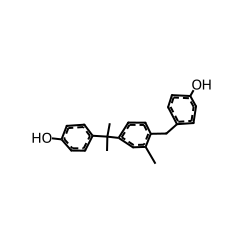 Cc1cc(C(C)(C)c2ccc(O)cc2)ccc1Cc1ccc(O)cc1